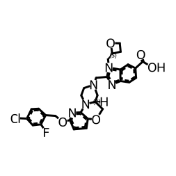 O=C(O)c1ccc2nc(CN3CCN4c5nc(OCc6ccc(Cl)cc6F)ccc5OC[C@H]4C3)n(C[C@@H]3CCO3)c2c1